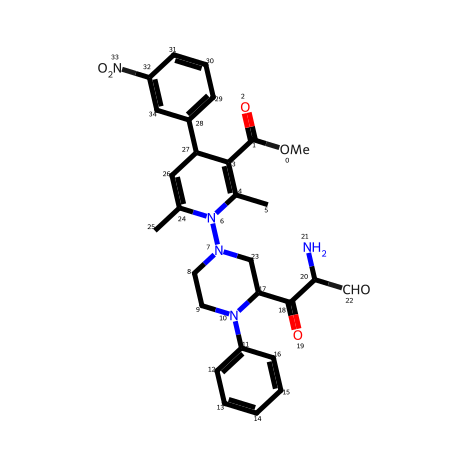 COC(=O)C1=C(C)N(N2CCN(c3ccccc3)C(C(=O)C(N)C=O)C2)C(C)=CC1c1cccc([N+](=O)[O-])c1